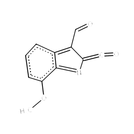 COc1cccc2c1=NC(=C=O)C=2C=O